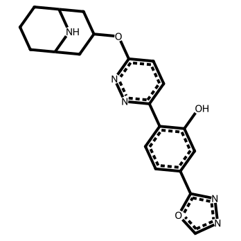 Oc1cc(-c2nnco2)ccc1-c1ccc(OC2CC3CCCC(C2)N3)nn1